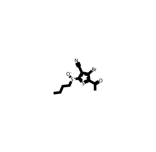 CCCC[S+]([O-])c1sc(C(C)=O)c(Br)c1C#N